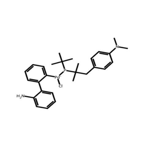 CN(C)c1ccc(CC(C)(C)[P]([Pd-]([Cl])[c]2ccccc2-c2ccccc2N)C(C)(C)C)cc1